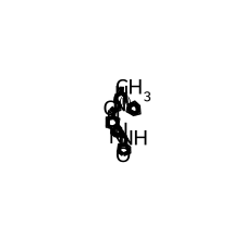 CN1CCN(CC(=O)N2CCc3cnc(NC4CCOCC4)nc3C2)[C@H](c2ccccc2)C1